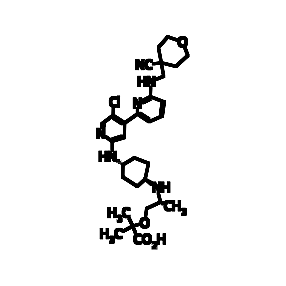 C[C@@H](COC(C)(C)C(=O)O)N[C@H]1CC[C@H](Nc2cc(-c3cccc(NCC4(C#N)CCOCC4)n3)c(Cl)cn2)CC1